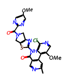 COc1cnc(C(=O)N2Cc3nc(NC(=O)c4cnc(C)cc4-c4cc(Cl)ncc4OC)sc3C2)nc1